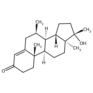 C[C@@H]1CC2=CC(=O)CC[C@@]2(C)[C@@H]2CC[C@@]3(C)[C@@H](CC[C@]3(C)O)[C@H]12